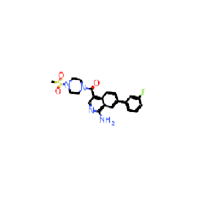 CS(=O)(=O)N1CCN(C(=O)c2cnc(N)c3cc(-c4cccc(F)c4)ccc23)CC1